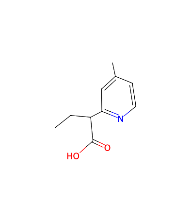 CCC(C(=O)O)c1cc(C)ccn1